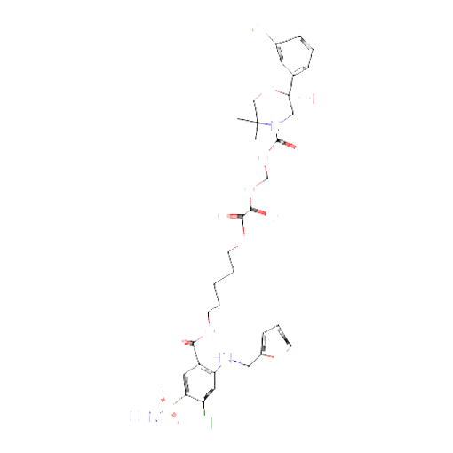 C[C@@H]1N(C(=O)OCOC(=O)C(=O)OCCCCCOC(=O)c2cc(S(N)(=O)=O)c(Cl)cc2NCc2ccco2)C(C)(C)CO[C@@]1(O)c1cccc(Cl)c1